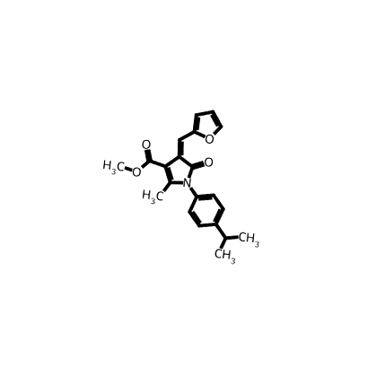 COC(=O)C1=C(C)N(c2ccc(C(C)C)cc2)C(=O)/C1=C\c1ccco1